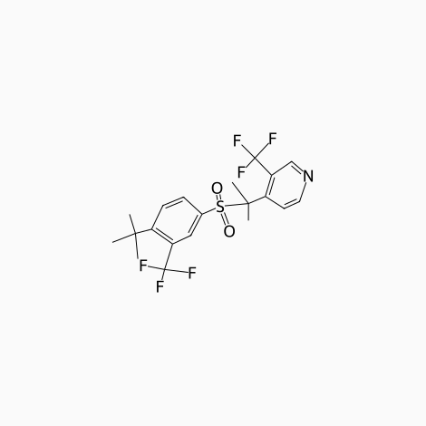 CC(C)(C)c1ccc(S(=O)(=O)C(C)(C)c2ccncc2C(F)(F)F)cc1C(F)(F)F